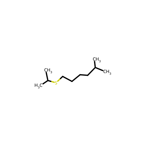 CC(C)CCCCSC(C)C